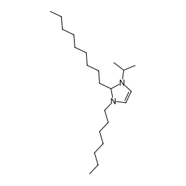 CCCCCCCCCC1N(CCCCCCC)C=CN1C(C)C